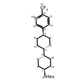 CCCCCC[C@H]1CC[C@H]([C@H]2CC[C@H](c3ccc(C(F)(F)F)nc3)CC2)CC1